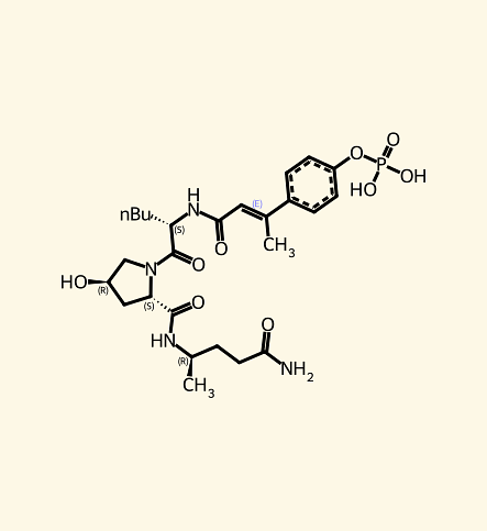 CCCC[C@H](NC(=O)/C=C(\C)c1ccc(OP(=O)(O)O)cc1)C(=O)N1C[C@H](O)C[C@H]1C(=O)N[C@H](C)CCC(N)=O